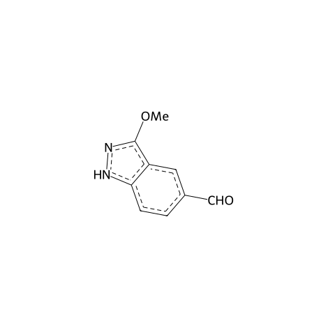 COc1n[nH]c2ccc(C=O)cc12